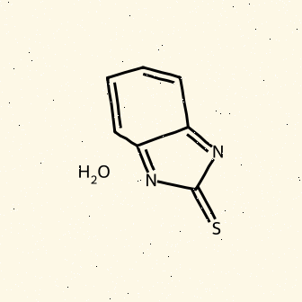 O.S=C1N=c2ccccc2=N1